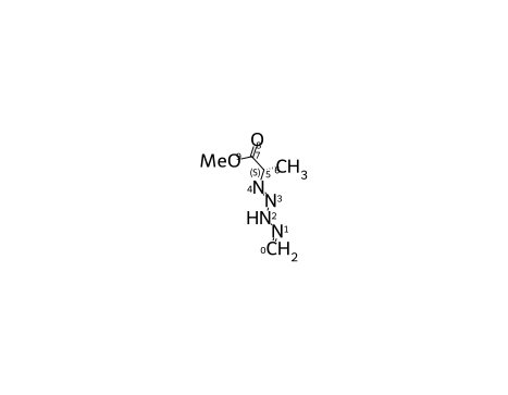 C=NNN=N[C@@H](C)C(=O)OC